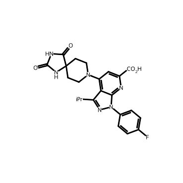 CC(C)c1nn(-c2ccc(F)cc2)c2nc(C(=O)O)cc(N3CCC4(CC3)NC(=O)NC4=O)c12